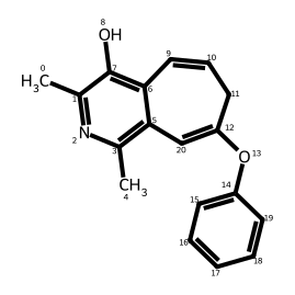 Cc1nc(C)c2c(c1O)C=CCC(Oc1ccccc1)=C2